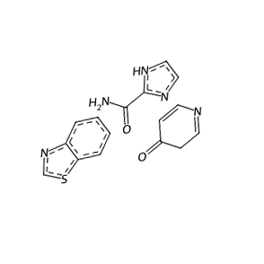 NC(=O)c1ncc[nH]1.O=C1C=CN=CC1.c1ccc2scnc2c1